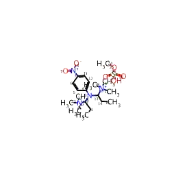 CCC(N(c1ccc([N+](=O)[O-])cc1)C(CC)[N+](C)(C)C)[N+](C)(C)C.COS(=O)(=O)O